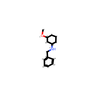 COC1CCCC(NCc2ccccc2)C1